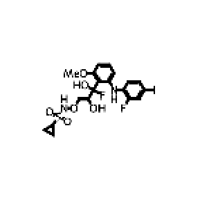 COc1cccc(Nc2ccc(I)cc2F)c1C(O)(F)C(O)CONS(=O)(=O)C1CC1